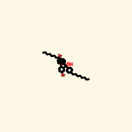 CCCCCCCCc1ccc(C(O)(c2ccc(CCCCCCCC)cc2)c2cc(Br)ccc2-c2ccc(Br)cc2)cc1